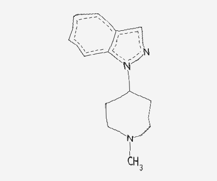 CN1CCC(n2ncc3ccccc32)CC1